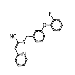 N#CC(=Cc1ccccn1)SCc1cccc(Oc2ccccc2F)c1